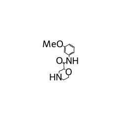 COc1cccc(NC(=O)C2CNCCO2)c1